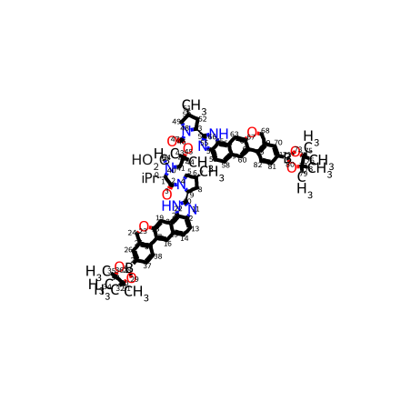 CC(C)[C@@H](C(=O)N1C[C@@H](C)C[C@H]1c1nc2ccc3cc4c(cc3c2[nH]1)OCc1cc(B2OC(C)(C)C(C)(C)O2)ccc1-4)N(CC(C)(C)OC(=O)N1C[C@@H](C)C[C@H]1c1nc2ccc3cc4c(cc3c2[nH]1)OCc1cc(B2OC(C)(C)C(C)(C)O2)ccc1-4)C(=O)O